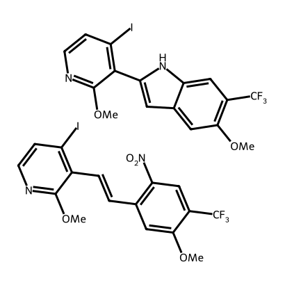 COc1cc(C=Cc2c(I)ccnc2OC)c([N+](=O)[O-])cc1C(F)(F)F.COc1cc2cc(-c3c(I)ccnc3OC)[nH]c2cc1C(F)(F)F